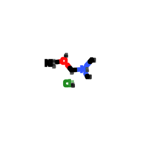 CN(C)C[O][Ni+].[Cl-]